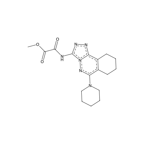 COC(=O)C(=O)Nc1nnc2c3c(c(N4CCCCC4)nn12)CCCC3